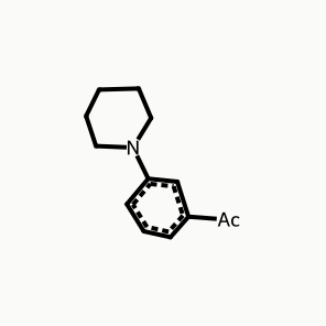 CC(=O)c1cccc(N2CCCCC2)c1